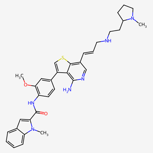 COc1cc(-c2csc3c(C=CCNCCC4CCCN4C)cnc(N)c23)ccc1NC(=O)c1cc2ccccc2n1C